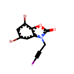 O=c1oc2c(Br)cc(Br)cc2n1CC#CI